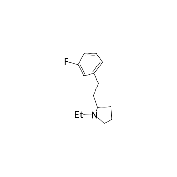 CCN1CCCC1CCc1cccc(F)c1